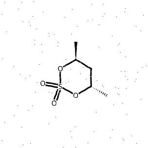 C[C@H]1C[C@H](C)OS(=O)(=O)O1